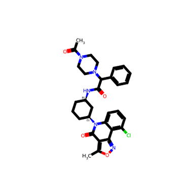 CC(=O)N1CCN(C(C(=O)N[C@@H]2CCC[C@H](n3c(=O)c4c(C)onc4c4c(Cl)cccc43)C2)c2ccccc2)CC1